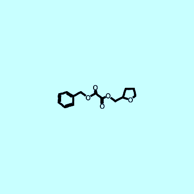 O=C(OCc1ccccc1)C(=O)OCC1CCCO1